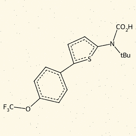 CC(C)(C)N(C(=O)O)c1ccc(-c2ccc(OC(F)(F)F)cc2)s1